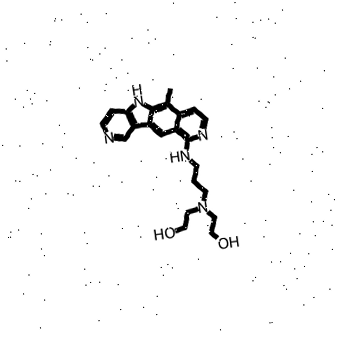 Cc1c2ccnc(NCCCN(CCO)CCO)c2cc2c1[nH]c1ccncc12